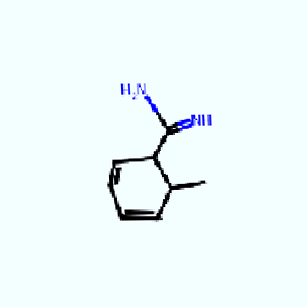 CC1[C]=CC=CC1C(=N)N